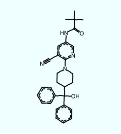 CC(C)(C)C(=O)Nc1cnc(N2CCC(C(O)(c3ccccc3)c3ccccc3)CC2)c(C#N)c1